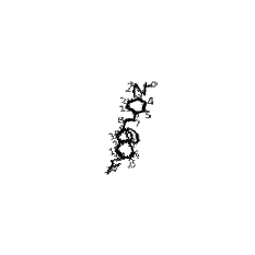 CN(C)c1ccc(C=Cc2cc3cc(F)ccc3o2)cc1